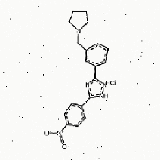 Cl.O=[N+]([O-])c1ccc(-c2nc(-c3cccc(CN4CCCC4)c3)n[nH]2)cc1